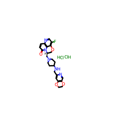 Cl.Cl.O=c1ccc2ncc(F)c3c2n1[C@H](CN1CCC(NCc2cc4c(cn2)OCCO4)CC1)CO3